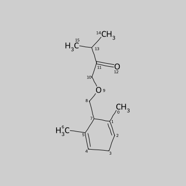 CC1=CCC=C(C)C1COCC(=O)C(C)C